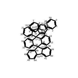 c1ccc(N(c2ccccc2)c2cccc3c2C2(c4ccccc4-c4ccccc42)c2ccccc2C32c3ccccc3-c3ccccc32)cc1